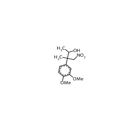 COc1ccc(C(C)(C[N+](=O)[O-])C(C)O)cc1OC